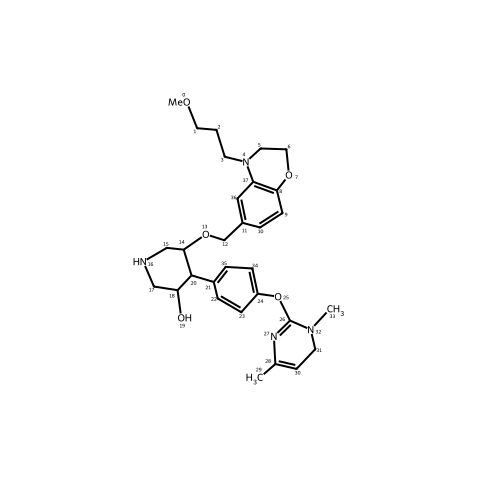 COCCCN1CCOc2ccc(COC3CNCC(O)C3c3ccc(OC4=NC(C)=CCN4C)cc3)cc21